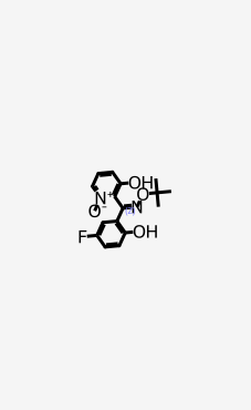 CC(C)(C)O/N=C(/c1cc(F)ccc1O)c1c(O)ccc[n+]1[O-]